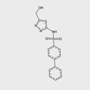 O=S(=O)(Nc1nnc(CO)s1)c1ccc(-c2ccccc2)cc1